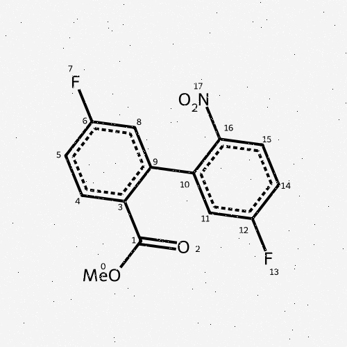 COC(=O)c1ccc(F)cc1-c1cc(F)ccc1[N+](=O)[O-]